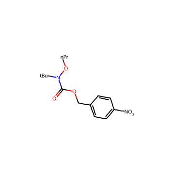 CCCON(C(=O)OCc1ccc([N+](=O)[O-])cc1)C(C)(C)C